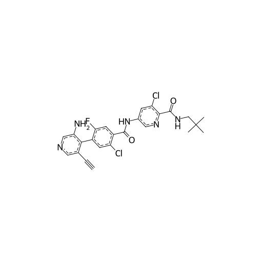 C#Cc1cncc(N)c1-c1cc(Cl)c(C(=O)Nc2cnc(C(=O)NCC(C)(C)C)c(Cl)c2)cc1F